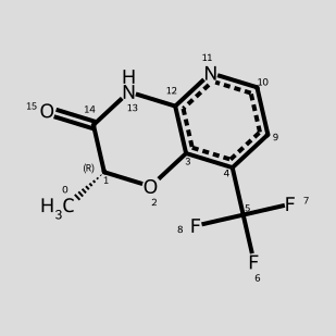 C[C@H]1Oc2c(C(F)(F)F)ccnc2NC1=O